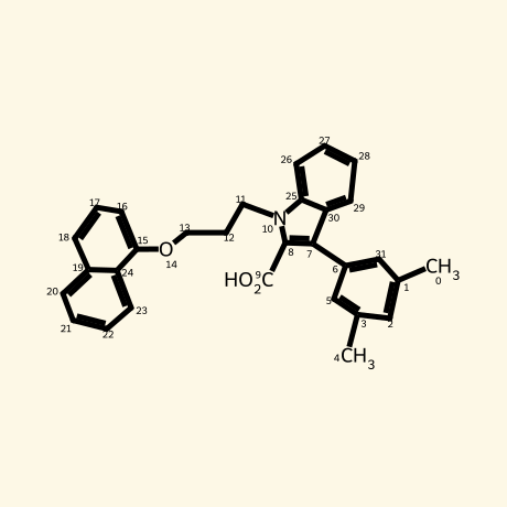 Cc1cc(C)cc(-c2c(C(=O)O)n(CCCOc3cccc4ccccc34)c3ccccc23)c1